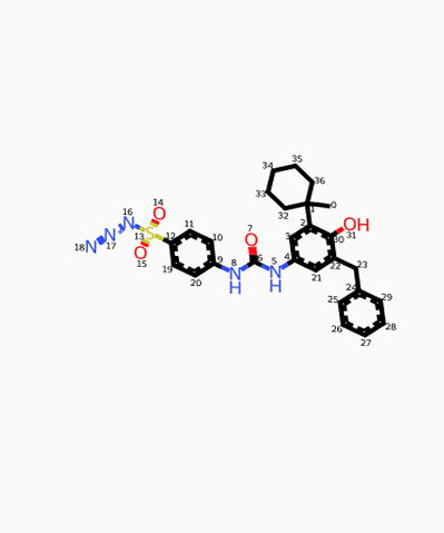 CC1(c2cc(NC(=O)Nc3ccc(S(=O)(=O)N=[N+]=[N-])cc3)cc(Cc3ccccc3)c2O)CCCCC1